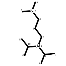 C[CH](C)[Al]([CH2]CCN(C)C)[CH](C)C